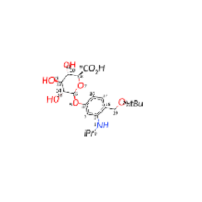 CC(C)Nc1cc(O[C@@H]2O[C@H](C(=O)O)[C@@H](O)[C@H](O)[C@H]2O)ccc1COC(C)(C)C